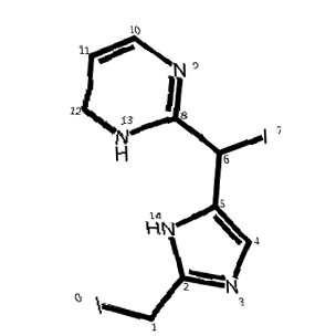 ICc1ncc(C(I)C2=NC=CCN2)[nH]1